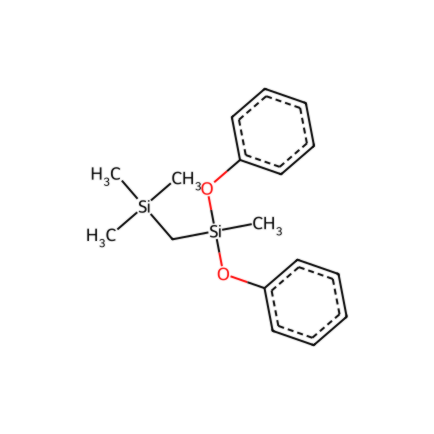 C[Si](C)(C)C[Si](C)(Oc1ccccc1)Oc1ccccc1